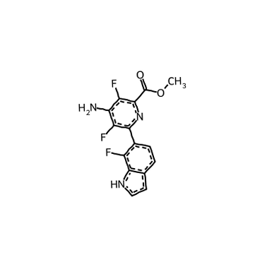 COC(=O)c1nc(-c2ccc3cc[nH]c3c2F)c(F)c(N)c1F